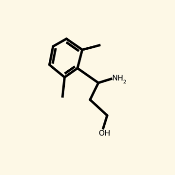 Cc1cccc(C)c1C(N)CCO